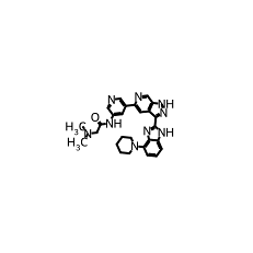 CN(C)CC(=O)Nc1cncc(-c2cc3c(-c4nc5c(N6CCCCC6)cccc5[nH]4)n[nH]c3cn2)c1